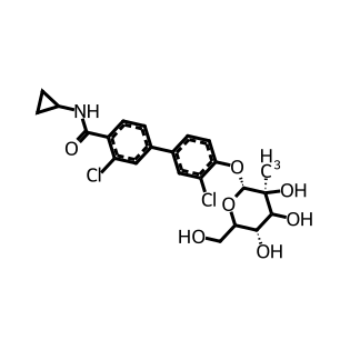 C[C@]1(O)C(O)[C@H](O)C(CO)O[C@@H]1Oc1ccc(-c2ccc(C(=O)NC3CC3)c(Cl)c2)cc1Cl